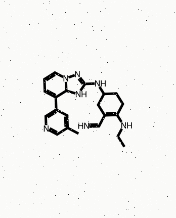 CCNC1=C(C=N)CC(NC2=NN3C=CC=C(c4cncc(C)c4)C3N2)CC1